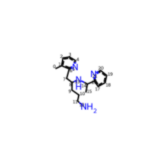 Cc1cccnc1CC(CCCN)NC(C)c1ccccn1